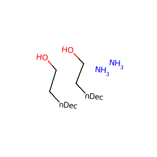 CCCCCCCCCCCCO.CCCCCCCCCCCCO.N.N